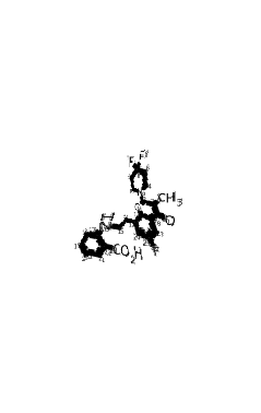 Cc1c(N2CCC(F)(F)CC2)oc2c(CCNc3ccccc3C(=O)O)cc(F)cc2c1=O